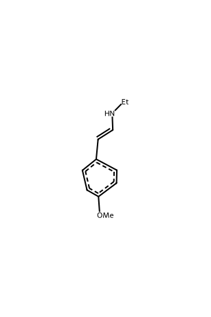 CCNC=Cc1ccc(OC)cc1